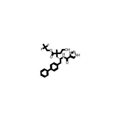 CC(F)(F)COC(=O)C(C)(CCO)C[C@@H](Cc1ccc(-c2ccccc2)cc1)NC(=O)c1c[nH]nn1